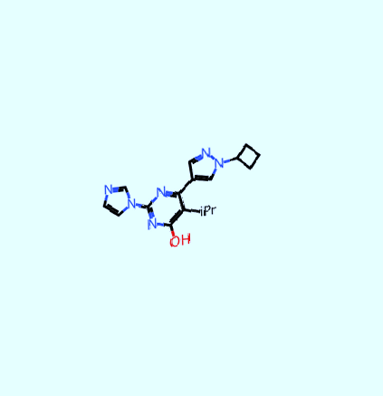 CC(C)c1c(O)nc(-n2ccnc2)nc1-c1cnn(C2CCC2)c1